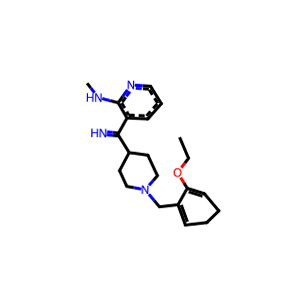 CCOC1=CCCC=C1CN1CCC(C(=N)c2cccnc2NC)CC1